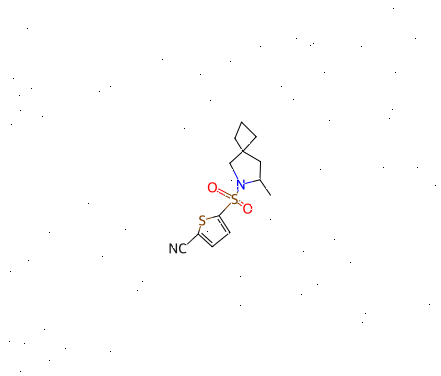 CC1CC2(CCC2)CN1S(=O)(=O)c1ccc(C#N)s1